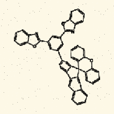 c1ccc2c(c1)Oc1ccccc1C21c2cc(-c3cc(-c4nc5ccccc5o4)cc(-c4nc5ccccc5o4)c3)ccc2-c2cc3ccccc3cc21